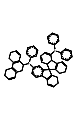 C1=CC2C(C(N(c3ccccc3)c3ccccc3)=C1)C1=C(CCC=C1)C21C2=C(C=CCC2)c2ccc(N(c3ccccc3)C3CC4=C(CCC=C4)C4=C3C=CCC4)cc21